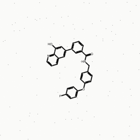 O=C(NCc1ccc(Oc2ccc(F)cc2)cc1)c1cccc(-c2cc(O)c3ncccc3c2)c1